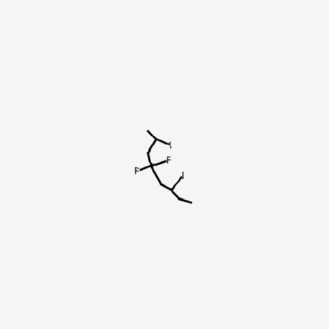 CCC(I)CC(F)(F)CC(C)I